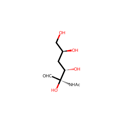 CC(=O)N[C@](O)(C=O)[C@@H](O)C[C@H](O)CO